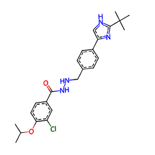 CC(C)Oc1ccc(C(=O)NNCc2ccc(-c3c[nH]c(C(C)(C)C)n3)cc2)cc1Cl